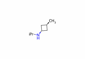 CC(C)N[C@H]1C[C@@H](C)C1